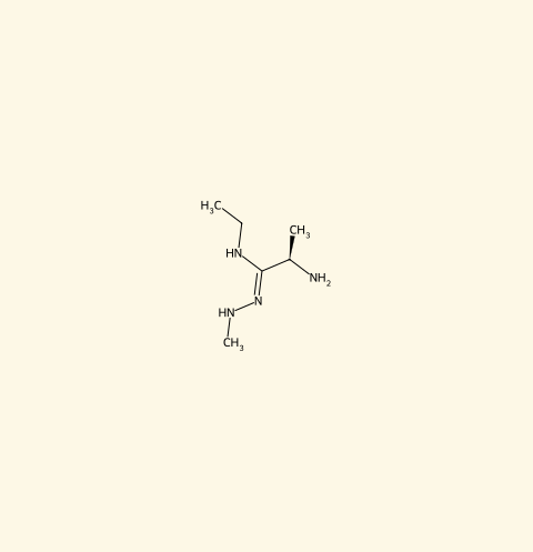 CCN/C(=N\NC)[C@@H](C)N